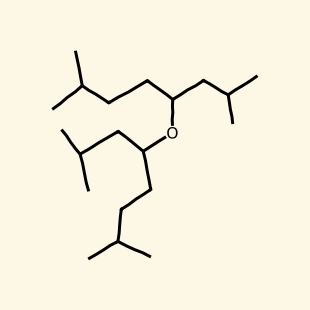 CC(C)CCC(CC(C)C)OC(CCC(C)C)CC(C)C